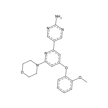 COc1ccccc1Oc1cc(-c2cnc(N)nc2)nc(N2CCOCC2)c1